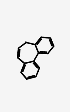 [C]1C=Cc2ccccc2-c2ccccc21